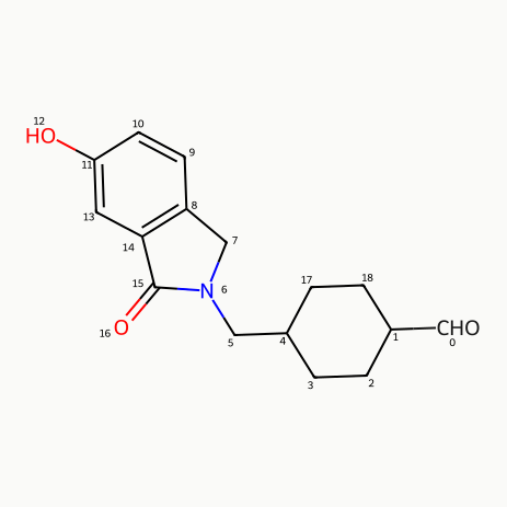 O=CC1CCC(CN2Cc3ccc(O)cc3C2=O)CC1